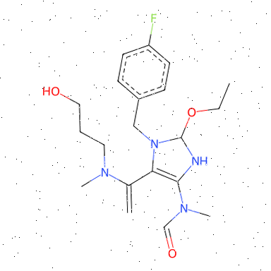 C=C(C1=C(N(C)C=O)NC(OCC)N1Cc1ccc(F)cc1)N(C)CCCO